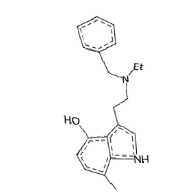 CCN(CCc1c[nH]c2c(C)ccc(O)c12)Cc1ccccc1